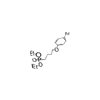 CCOP(=O)(CCCCOc1ccc(C(C)=O)cc1)OCC